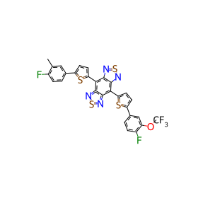 Cc1cc(-c2ccc(-c3c4c(c(-c5ccc(-c6ccc(F)c(OC(F)(F)F)c6)s5)c5nsnc35)N=S=N4)s2)ccc1F